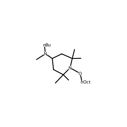 CCCCCCCCON1C(C)(C)CC(N(C)CCCC)CC1(C)C